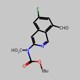 CC(C)(C)OC(=O)N(C(=O)O)c1cc2cc(F)cc(C=O)c2cn1